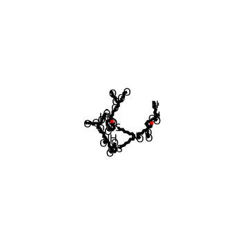 COCCOCC(COCCCNC(=O)CCN1C(=O)CC(SCCCCCCN(CCCCCCSC2CC(=O)N(CCC(=O)NCCCOCC(COCCOC)OCCOC)C2=O)C(=O)CCCC(OC=O)c2ccc(OC(=O)N(C)CCCN(C)C)cc2)C1=O)OCCOC